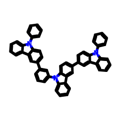 c1ccc(-n2c3ccccc3c3cc(-c4cccc(-n5c6ccccc6c6cc(-c7ccc8c(c7)c7ccccc7n8-c7ccccc7)ccc65)c4)ccc32)cc1